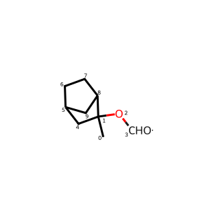 CC1(O[C]=O)CC2CCC1C2